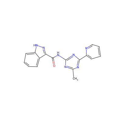 Cc1nc(NC(=O)c2n[nH]c3ccccc23)nc(-c2ccccn2)n1